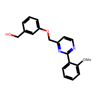 COc1ccccc1-c1nccc(COc2cccc(CO)c2)n1